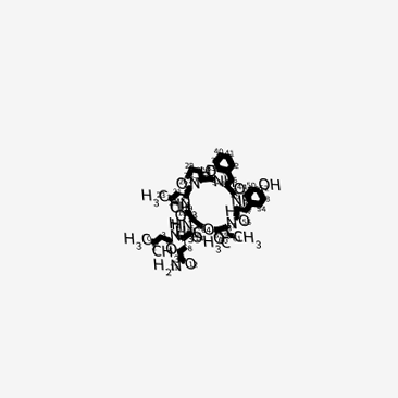 CC(C)CC(=O)N[C@@H](CCC(N)=O)C(=O)N[C@@H]1C(=O)N[C@@H](CC(C)C)C(=O)N2CCC[C@@H]2C(=O)NC(Cc2ccccc2)C(=O)NC(Cc2ccc(O)cc2)C(=O)N[C@@H](C(C)C)C(=O)OC1C